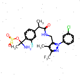 Cc1c(C(F)(F)F)nn(-c2cccc(Cl)c2)c1CNC(=O)C(C)c1ccc(C(C)(N)O[SH](=O)=O)c(F)c1